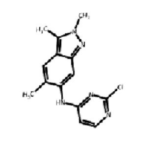 Cc1cc2c(C)n(C)nc2cc1Nc1ccnc(Cl)n1